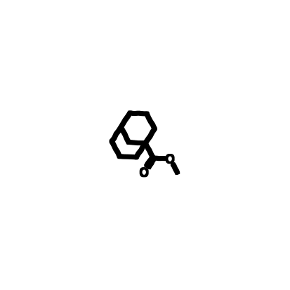 COC(=O)C12CCCC(CCC1)C2